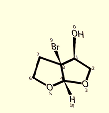 O[C@H]1CO[C@@H]2OCC[C@@]21Br